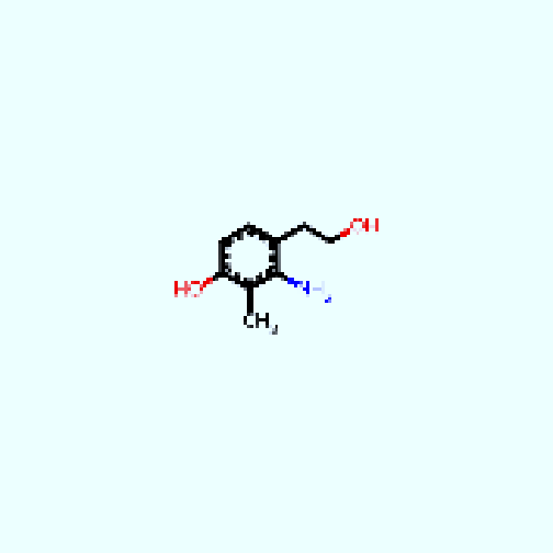 Cc1c(O)ccc(CCO)c1N